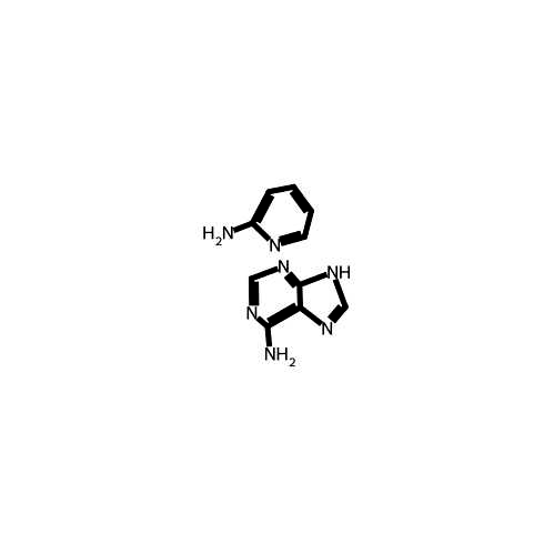 Nc1ccccn1.Nc1ncnc2[nH]cnc12